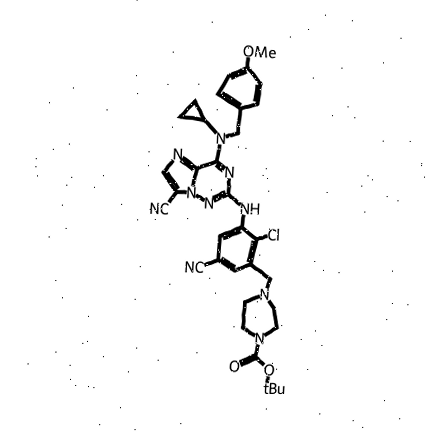 COc1ccc(CN(c2nc(Nc3cc(C#N)cc(CN4CCN(C(=O)OC(C)(C)C)CC4)c3Cl)nn3c(C#N)cnc23)C2CC2)cc1